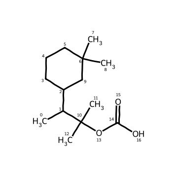 CC(C1CCCC(C)(C)C1)C(C)(C)OC(=O)O